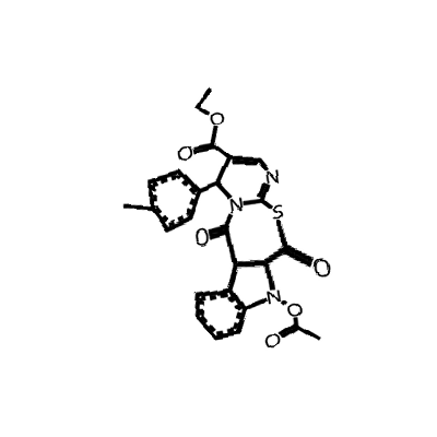 CCOC(=O)C1=CN=C2SC(=O)C3C(C(=O)N2C1c1ccc(C)cc1)c1ccccc1N3OC(C)=O